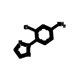 Nc1ccc(-n2nccn2)c(Cl)c1